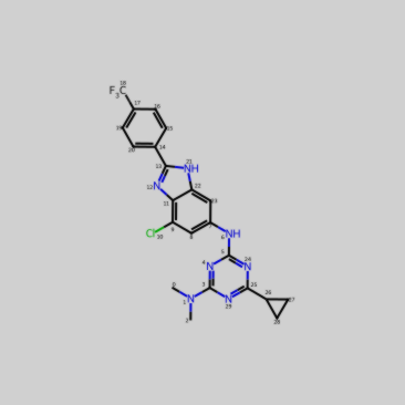 CN(C)c1nc(Nc2cc(Cl)c3nc(-c4ccc(C(F)(F)F)cc4)[nH]c3c2)nc(C2CC2)n1